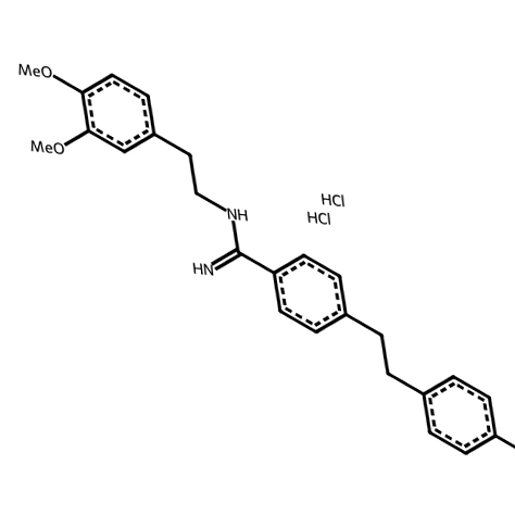 COc1ccc(CCNC(=N)c2ccc(CCc3ccc(CN)cc3)cc2)cc1OC.Cl.Cl